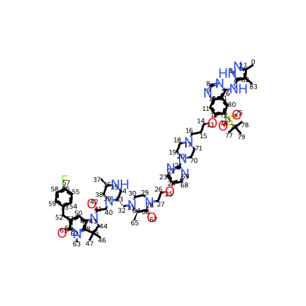 Cc1n[nH]c(Nc2ncnc3cc(OCCCN4CCN(c5ncc(OCCN6CCN(C[C@H]7CN[C@H](C)CN7CC(=O)N7CC(C)(C)c8c7cc(Cc7ccc(F)cc7)c(=O)n8C)[C@H](C)C6=O)cn5)CC4)c(S(=O)(=O)C(C)(C)C)cc23)c1C